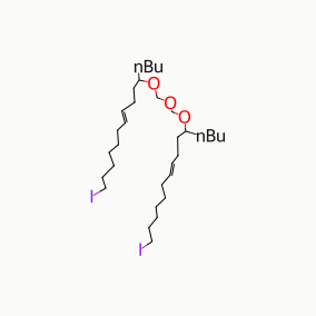 CCCCC(CCC=CCCCCCCI)OCOCOC(CCC=CCCCCCCI)CCCC